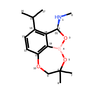 CN[C@H]1OB2OC(C)(C)COc3ccc(C(C)C)c1c32